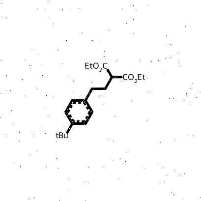 CCOC(=O)C(CCc1ccc(C(C)(C)C)cc1)C(=O)OCC